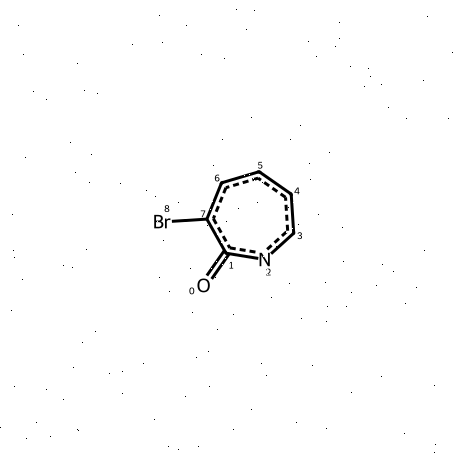 O=c1nccccc1Br